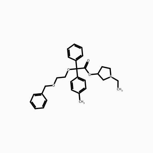 CCN1CCC(OC(=O)C(OCCOCc2ccccc2)(c2ccccc2)c2ccc(C)cc2)C1